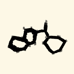 O=C(c1cnc2ccccc2n1)N1CC[CH]CC1